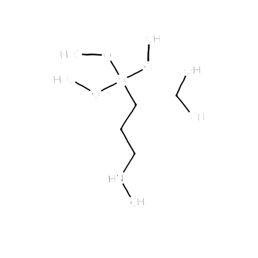 CCO.CNCCC[Si](OC)(OC)OC